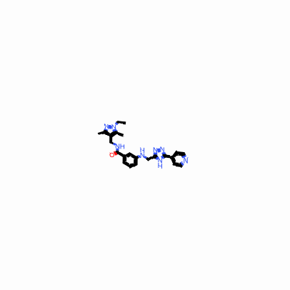 CCn1nc(C)c(CNC(=O)c2cccc(NCc3nnc(-c4ccncc4)[nH]3)c2)c1C